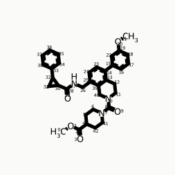 COC(=O)C1CCN(C(=O)N2CCc3c(-c4cccc(OC)c4)ccc(CNC(=O)C4CC4c4ccccc4)c3C2)CC1